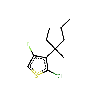 CCCC(C)(CC)c1c(F)csc1Cl